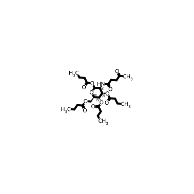 CCCC(=O)OC[C@H]1OC(OC(=O)CCC)[C@@H](NC(=O)CCC(C)=O)[C@@H](OC(=O)CCC)[C@@H]1OC(=O)CCC